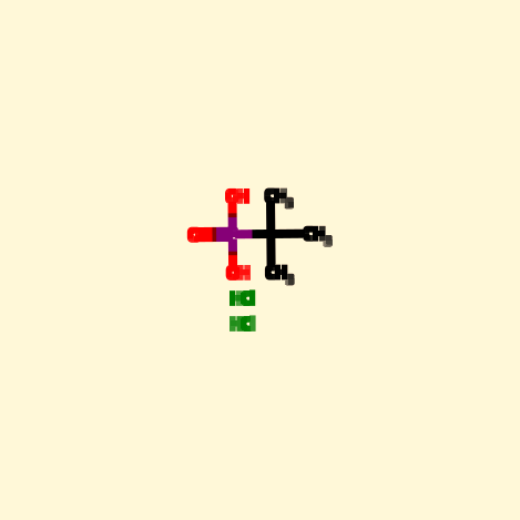 CC(C)(C)P(=O)(O)O.Cl.Cl